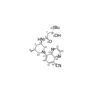 C[C@H]1C[C@@H](NC(=O)C[C@@H](O)C(C)(C)C)CN(c2ccc(C#N)c3nccnc23)C1